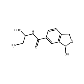 NCC(C=O)NC(=O)c1ccc2c(c1)B(O)OC2